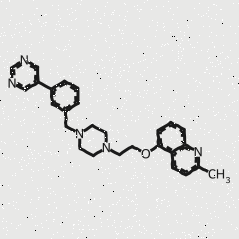 Cc1ccc2c(OCCN3CCN(Cc4cccc(-c5cncnc5)c4)CC3)cccc2n1